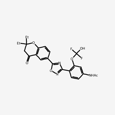 CCC1(CC)CC(=O)c2cc(-c3nc(-c4ccc(NC(C)=O)cc4OC(O)(F)F)no3)ccc2O1